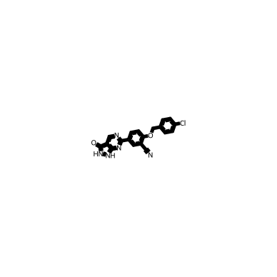 N#Cc1cc(-c2ncc3c(=O)[nH][nH]c3n2)ccc1OCc1ccc(Cl)cc1